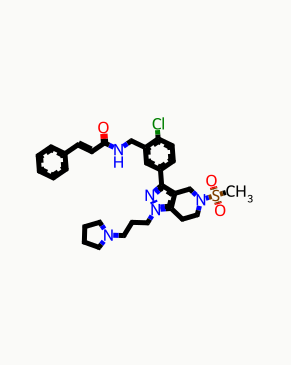 CS(=O)(=O)N1CCc2c(c(-c3ccc(Cl)c(CNC(=O)C=Cc4ccccc4)c3)nn2CCCN2CCCC2)C1